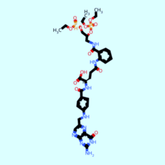 CCO[PH](=O)OCC(CNC(=O)c1ccccc1NC(=O)CC[C@@H](NC(=O)c1ccc(NCc2cnc3nc(N)[nH]c(=O)c3n2)cc1)C(=O)O)OP(=O)(OCC)OCC